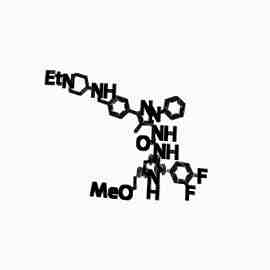 CCN1CCC(NCc2ccc(-c3nn(-c4ccccc4)c(NC(=O)N[C@@H]4C[C@@H](CCOC)N[C@H]4c4ccc(F)c(F)c4)c3C)cc2)CC1